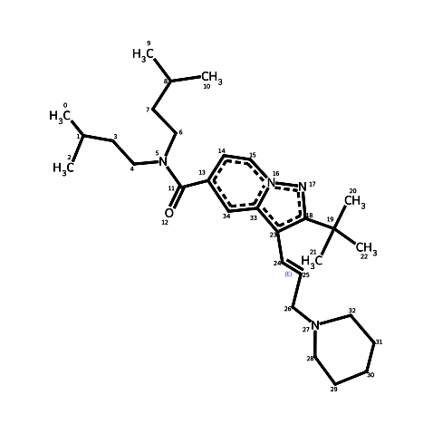 CC(C)CCN(CCC(C)C)C(=O)c1ccn2nc(C(C)(C)C)c(/C=C/CN3CCCCC3)c2c1